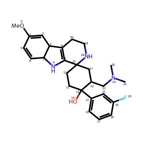 COC1=CC2C3=C(NC2C=C1)C1(CCC(O)(c2cccc(F)c2)C(CN(C)C)C1)NCC3